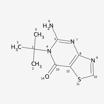 CC(C)(C)n1c(N)nc2ncsc2c1=O